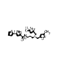 Cc1cc(CN(CCCNC(=O)c2cc(-c3cccs3)[nH]n2)Cc2cc(C)no2)on1